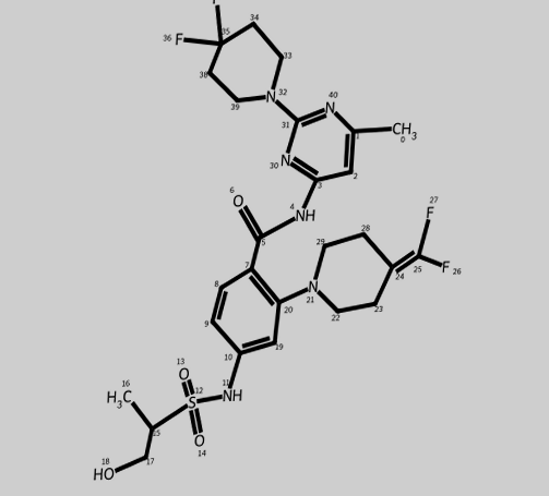 Cc1cc(NC(=O)c2ccc(NS(=O)(=O)C(C)CO)cc2N2CCC(=C(F)F)CC2)nc(N2CCC(F)(F)CC2)n1